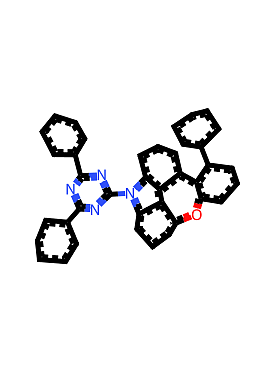 c1ccc(-c2nc(-c3ccccc3)nc(-n3c4cccc5oc6cccc(-c7ccccc7)c6c6cccc3c6c54)n2)cc1